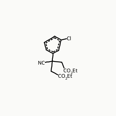 CCOC(=O)CC(C#N)(CC(=O)OCC)c1cccc(Cl)c1